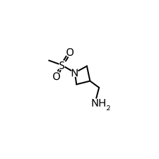 CS(=O)(=O)N1CC(CN)C1